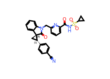 N#Cc1ccc([C@@H]2C[C@@]23C(=O)N(Cc2cccc(C(=O)NS(=O)(=O)C4CC4)n2)c2ccccc23)cc1